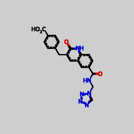 O=C(O)c1ccc(Cc2cc3cc(C(=O)NCn4cnnn4)ccc3[nH]c2=O)cc1